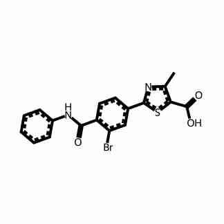 Cc1nc(-c2ccc(C(=O)Nc3ccccc3)c(Br)c2)sc1C(=O)O